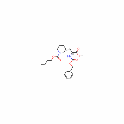 CCCCOC(=O)N1CCC[C@@H](C[C@H](NC(=O)OCc2ccccc2)C(=O)OC)C1